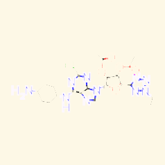 CCn1nnc([C@H]2O[C@@H](n3cnc4c(N[C@H]5CC[C@H](N)CC5)nc(Cl)nc43)[C@H](OC(C)=O)[C@@H]2OC(C)=O)n1